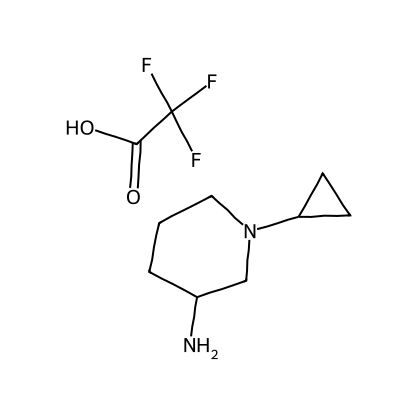 NC1CCCN(C2CC2)C1.O=C(O)C(F)(F)F